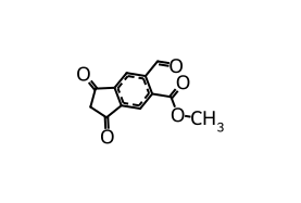 COC(=O)c1cc2c(cc1C=O)C(=O)CC2=O